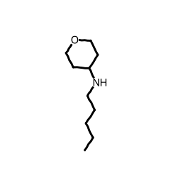 CCCCCNC1CCOCC1